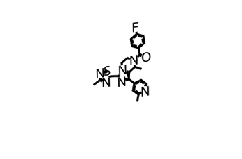 Cc1cc(-c2nc(-c3nc(C)ns3)n3c2C(C)N(C(=O)c2ccc(F)cc2)CC3)ccn1